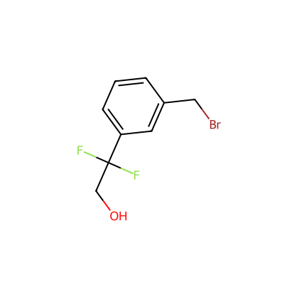 OCC(F)(F)c1cccc(CBr)c1